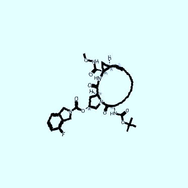 CONC(=O)[C@@]12C[C@H]1/C=C\CCCCC[C@H](NC(=O)OC(C)(C)C)C(=O)N1C[C@H](OC(=O)N3Cc4cccc(F)c4C3)C[C@H]1C(=O)N2